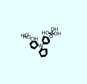 Cl.Cl.Cl.O=P(O)(O)O.c1cc[c]([Al]([c]2ccccc2)[c]2ccccc2)cc1